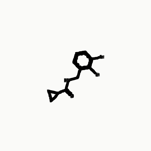 CCc1c(CNC(=O)C2CC2)cccc1C(C)=O